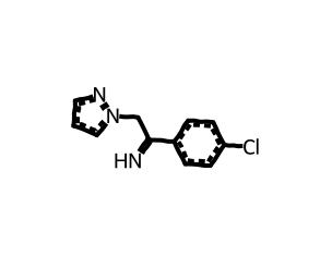 N=C(Cn1cccn1)c1ccc(Cl)cc1